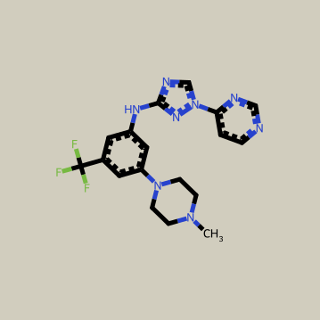 CN1CCN(c2cc(Nc3ncn(-c4ccncn4)n3)cc(C(F)(F)F)c2)CC1